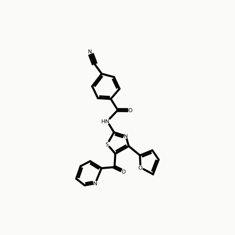 N#Cc1ccc(C(=O)Nc2nc(-c3ccco3)c(C(=O)c3ccccn3)s2)cc1